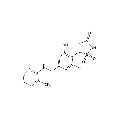 O=C1CN(c2c(O)cc(CNc3ncccc3C(F)(F)F)cc2F)S(=O)(=O)N1